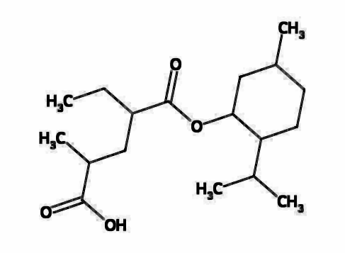 CCC(CC(C)C(=O)O)C(=O)OC1CC(C)CCC1C(C)C